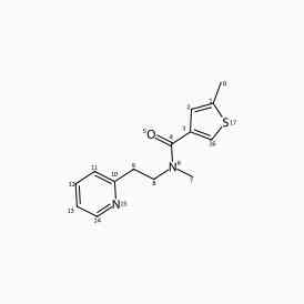 Cc1cc(C(=O)N(C)CCc2ccccn2)cs1